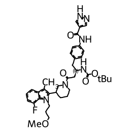 COCCCn1c(C2CCCN(C(=O)C[C@@H](Cc3ccc(NC(=O)c4cn[nH]c4)cc3)NC(=O)OC(C)(C)C)C2)c(C)c2cccc(F)c21